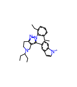 C=[N+]1C=Cc2cc(-c3c4c(nn3-c3c(CC)cccc3CC)CCN(C(CC)CC)C4)ccc21